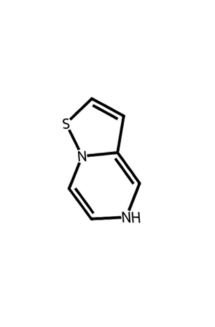 C1=CN2SC=CC2=CN1